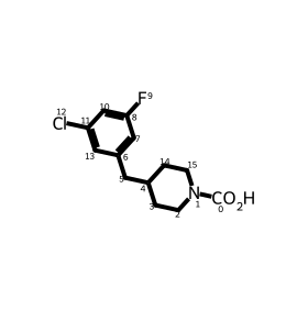 O=C(O)N1CCC(Cc2cc(F)cc(Cl)c2)CC1